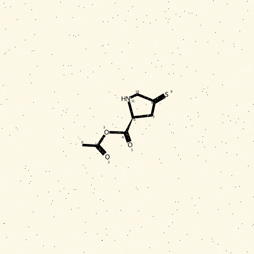 CC(=O)OC(=O)[C@@H]1CC(=S)CN1